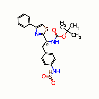 CC(C)(C)OC(=O)N[C@@H](Cc1ccc(N[SH](=O)=O)cc1)c1nc(-c2ccccc2)cs1